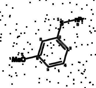 CCCSc1cccc(OC)c1